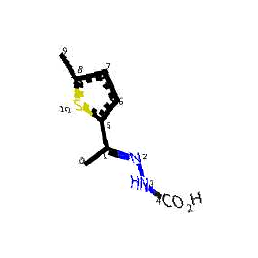 CC(=NNC(=O)O)c1ccc(C)s1